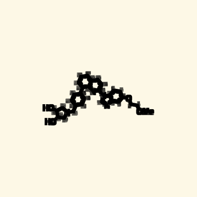 COCCOc1ccc2c(c1)ncn2-c1ccc2cccc(-c3ccc(CN4C[C@H](O)[C@@H](O)C4)cc3)c2n1